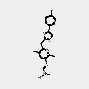 CCN(C)/C=N/c1cc(C)c(Cc2nc(-c3ccc(C)cc3)cs2)nc1C